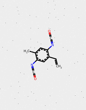 C=Cc1cc(N=C=O)c(C)cc1N=C=O